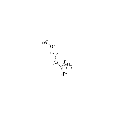 C=C(OCCOC(C)C)C(C)C